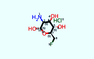 Cl.N[C@H]1[C@@H](O)[C@H](O)[C@@H](CF)O[C@@H]1O